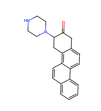 O=C1Cc2ccc3c(ccc4ccccc43)c2CC1N1CCNCC1